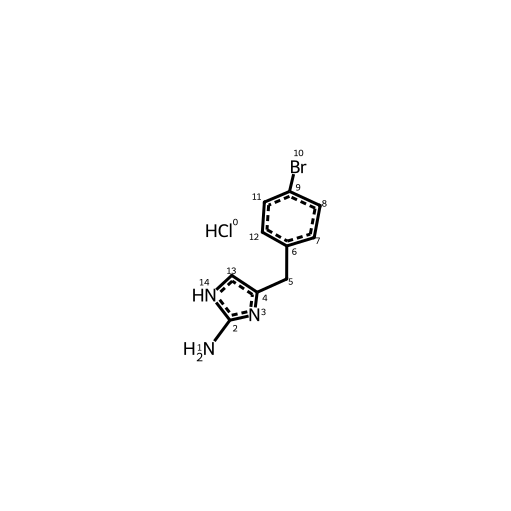 Cl.Nc1nc(Cc2ccc(Br)cc2)c[nH]1